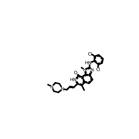 Cc1c(C=CCN2CCN(C)CC2)[nH]c(=O)c2c1ccc1nc(Nc3c(Cl)cccc3Cl)n(C)c12